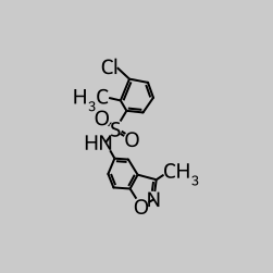 Cc1c(Cl)cccc1S(=O)(=O)Nc1ccc2onc(C)c2c1